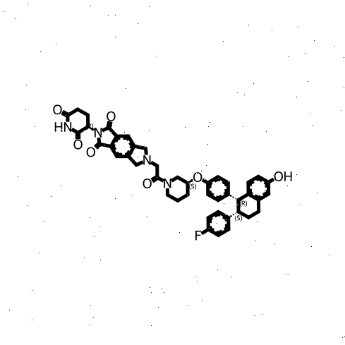 O=C1CC[C@@H](N2C(=O)c3cc4c(cc3C2=O)CN(CC(=O)N2CCC[C@H](Oc3ccc([C@@H]5c6ccc(O)cc6CC[C@@H]5c5ccc(F)cc5)cc3)C2)C4)C(=O)N1